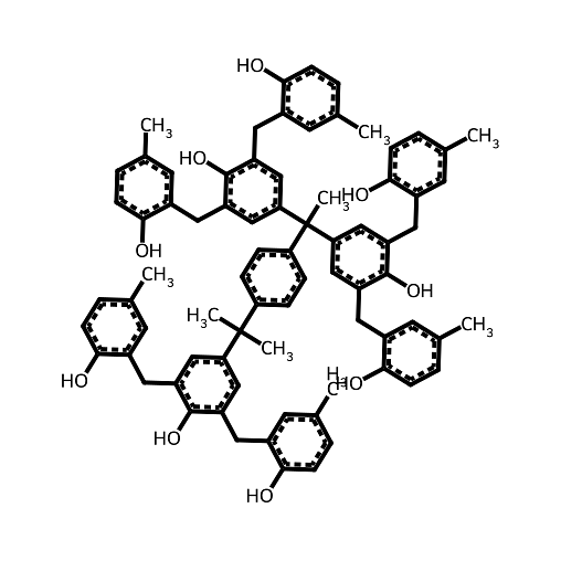 Cc1ccc(O)c(Cc2cc(C(C)(C)c3ccc(C(C)(c4cc(Cc5cc(C)ccc5O)c(O)c(Cc5cc(C)ccc5O)c4)c4cc(Cc5cc(C)ccc5O)c(O)c(Cc5cc(C)ccc5O)c4)cc3)cc(Cc3cc(C)ccc3O)c2O)c1